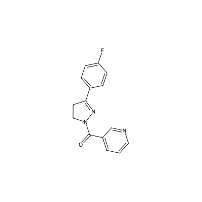 O=C(c1cccnc1)N1CCC(c2ccc(F)cc2)=N1